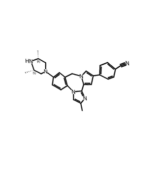 Cc1cn2c(n1)-c1cc(-c3ccc(C#N)cc3)cn1Cc1cc(N3C[C@@H](C)N[C@@H](C)C3)ccc1-2